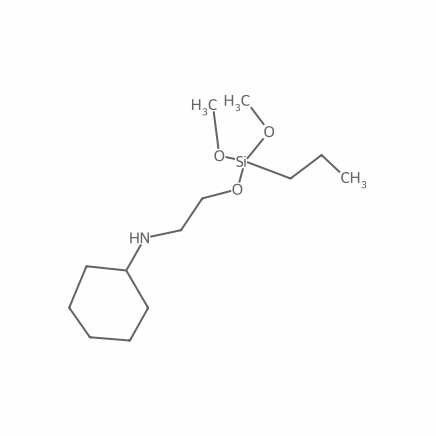 CCC[Si](OC)(OC)OCCNC1CCCCC1